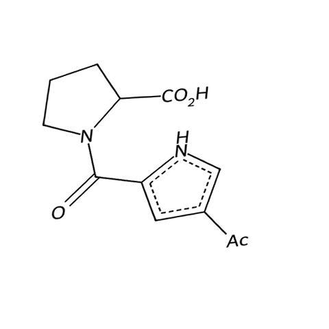 CC(=O)c1c[nH]c(C(=O)N2CCCC2C(=O)O)c1